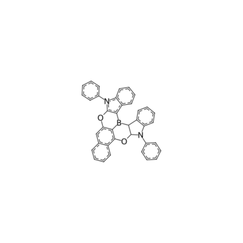 c1ccc(N2c3ccccc3C3B4c5c(cc6ccccc6c5OC32)Oc2c4c3ccccc3n2-c2ccccc2)cc1